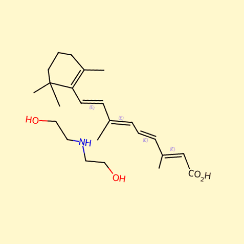 CC1=C(/C=C/C(C)=C/C=C/C(C)=C/C(=O)O)C(C)(C)CCC1.OCCNCCO